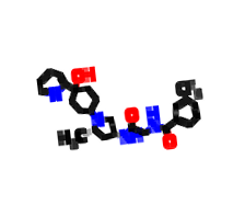 C[C@H]1C[C@@H](NC(=O)CNC(=O)c2cccc(C(F)(F)F)c2)CN1C1CCC(O)(c2ccccn2)CC1